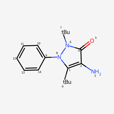 CC(C)(C)c1c(N)c(=O)n(C(C)(C)C)n1-c1ccccc1